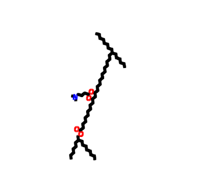 CCCCCCCCC(CCCCCC)CCCCCCCCCCCCC(CCCCCCCCCCCC(=O)OCC(CCCCCC)CCCCCCCC)OC(=O)CCCN(C)C